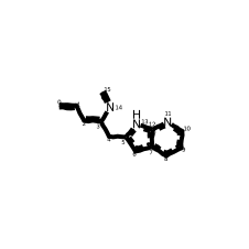 C=C/C=C(/Cc1cc2cccnc2[nH]1)N=C